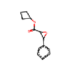 O=C(OC1CCC1)C1OC1c1ccccc1